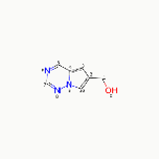 OCc1cc2cncnn2c1